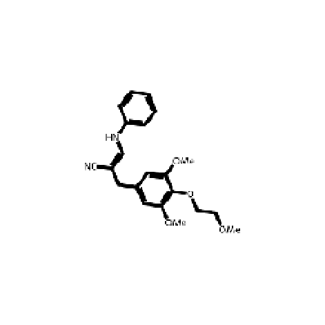 COCCOc1c(OC)cc(CC(C#N)=CNc2ccccc2)cc1OC